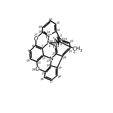 Cc1cc2n(n1)[N+]13c4c(ccc5c4-n4c6c(cccc6c6ccn[n+]1c64)O5)Oc1cccc-2[n+]13